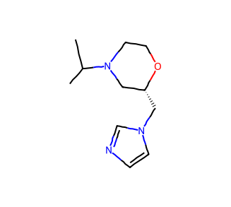 CC(C)N1CCO[C@H](Cn2ccnc2)C1